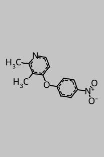 Cc1nccc(Oc2ccc([N+](=O)[O-])cc2)c1C